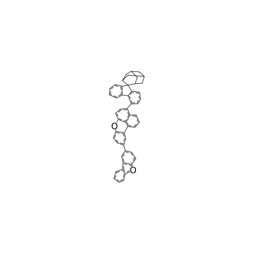 c1ccc2c(c1)-c1c(-c3ccc4c5c(cccc35)-c3cc(-c5ccc6oc7ccccc7c6c5)ccc3O4)cccc1C21C2CC3CC(C2)CC1C3